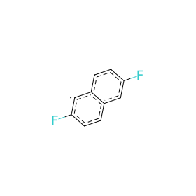 Fc1[c]c2ccc(F)cc2cc1